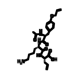 C=CCOc1ccc(C[C@H](NC(C)=O)C(=O)N[C@@H](CCCCN)C(=O)N[C@@H](CC=C)C(=O)O)cc1